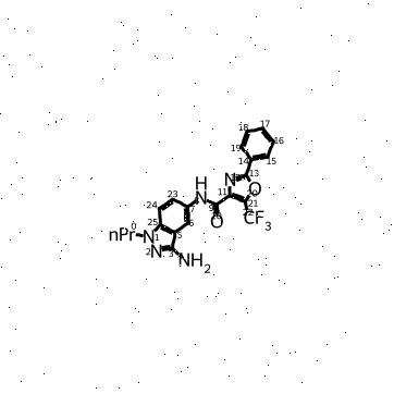 CCCn1nc(N)c2cc(NC(=O)c3nc(-c4ccccc4)oc3C(F)(F)F)ccc21